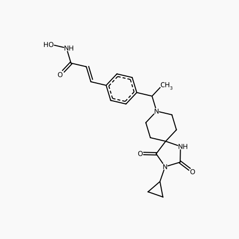 CC(c1ccc(/C=C/C(=O)NO)cc1)N1CCC2(CC1)NC(=O)N(C1CC1)C2=O